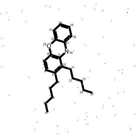 CCCCCc1ccc2c(c1CCCCC)[N]c1ccccc1O2